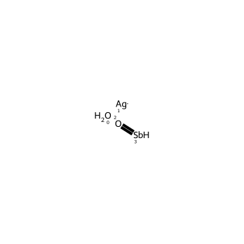 O.[Ag].[O]=[SbH]